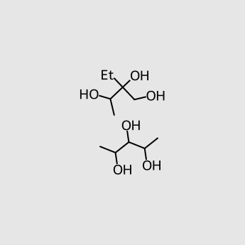 CC(O)C(O)C(C)O.CCC(O)(CO)C(C)O